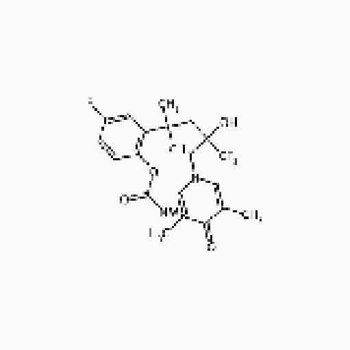 CNC(=O)Oc1ccc(F)cc1C(C)(C)CC(O)(Cn1cc(C)c(=O)c(C)c1)C(F)(F)F